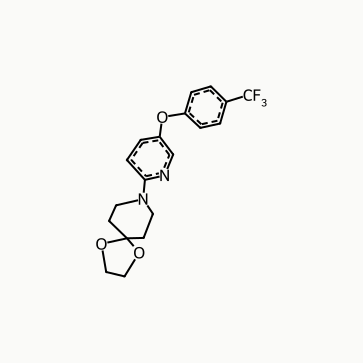 FC(F)(F)c1ccc(Oc2ccc(N3CCC4(CC3)OCCO4)nc2)cc1